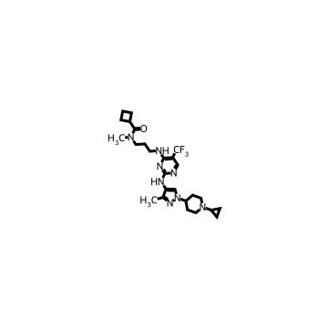 Cc1nn(C2CCN(C3CC3)CC2)cc1Nc1ncc(C(F)(F)F)c(NCCCN(C)C(=O)C2CCC2)n1